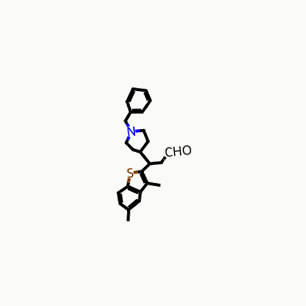 Cc1ccc2sc(C(CC=O)C3CCN(Cc4ccccc4)CC3)c(C)c2c1